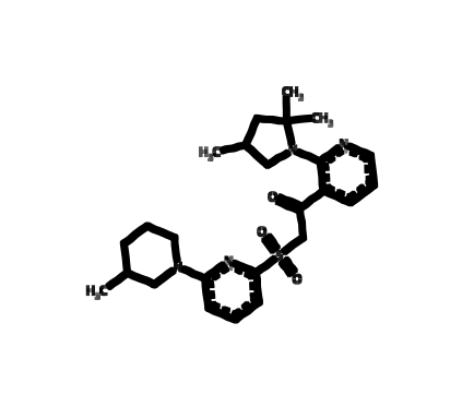 CC1CCCN(c2cccc(S(=O)(=O)CC(=O)c3cccnc3N3CC(C)CC3(C)C)n2)C1